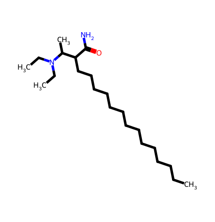 CCCCCCCCCCCCCCC(C(N)=O)C(C)N(CC)CC